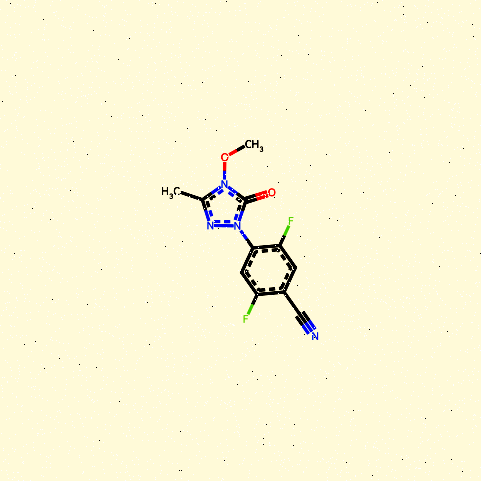 COn1c(C)nn(-c2cc(F)c(C#N)cc2F)c1=O